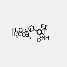 CC(C)(C)OC(=O)N1CCC=C(c2cc3c(c(C(F)(F)F)c2)CNC3=O)C1